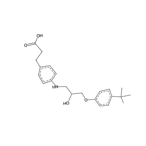 CC(C)(C)c1ccc(OCC(O)CNc2ccc(CCC(=O)O)cc2)cc1